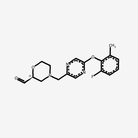 Cc1cccc(F)c1Oc1cnc(CN2CCO[C@H](C=O)C2)cn1